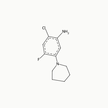 Nc1cc(N2CCCCC2)c(F)cc1Cl